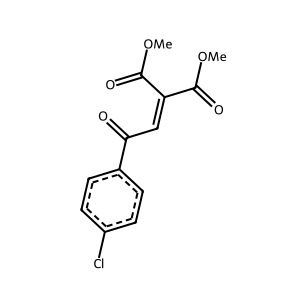 COC(=O)C(=CC(=O)c1ccc(Cl)cc1)C(=O)OC